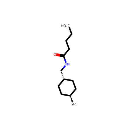 CC(=O)[C@H]1CC[C@H](CNC(=O)CCCC(=O)O)CC1